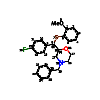 COc1ccccc1S[C@@H](c1ccc(F)cc1)[C@@H]1CN(Cc2ccccc2)CCO1